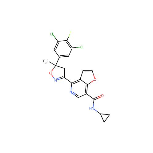 O=C(NC1CC1)c1cnc(C2=NOC(c3cc(Cl)c(F)c(Cl)c3)(C(F)(F)F)C2)c2ccoc12